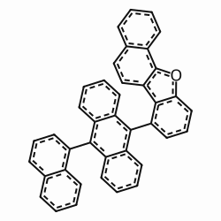 c1ccc2c(-c3c4ccccc4c(-c4cccc5oc6c7ccccc7ccc6c45)c4ccccc34)cccc2c1